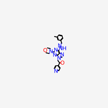 Cc1cccc(C=NNc2nc(N3CCOCC3)nc3c2ncn3CC(=O)c2ccncc2)c1